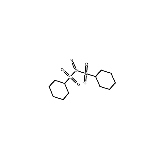 [N-]=[N+](S(=O)(=O)C1CCCCC1)S(=O)(=O)C1CCCCC1